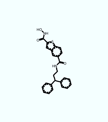 O=C(NCCC(c1ccccc1)c1ccccc1)c1ccc2sc(C(=O)NO)cc2c1